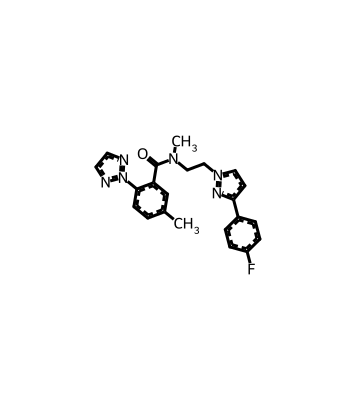 Cc1ccc(-n2nccn2)c(C(=O)N(C)CCn2ccc(-c3ccc(F)cc3)n2)c1